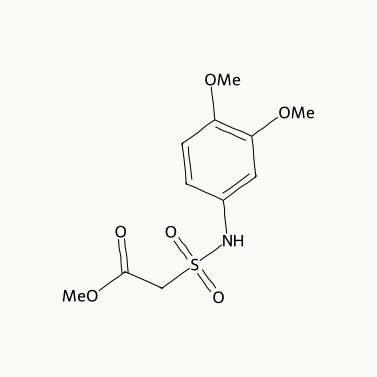 COC(=O)CS(=O)(=O)Nc1ccc(OC)c(OC)c1